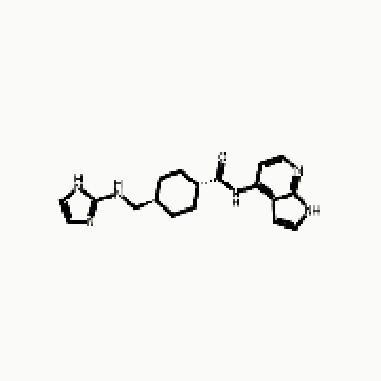 O=C(Nc1ccnc2[nH]ccc12)[C@H]1CC[C@H](CNc2ncc[nH]2)CC1